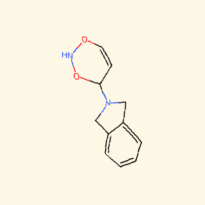 C1=CC(N2Cc3ccccc3C2)ONO1